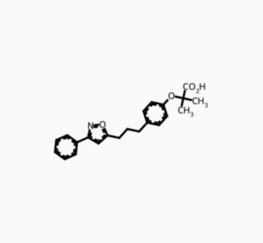 CC(C)(Oc1ccc(CCCc2cc(-c3ccccc3)no2)cc1)C(=O)O